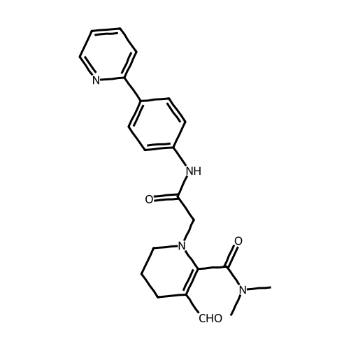 CN(C)C(=O)C1=C(C=O)CCCN1CC(=O)Nc1ccc(-c2ccccn2)cc1